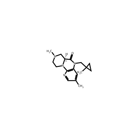 Cc1cnc2c(c1)N(CC1(C)CC1)C(=O)[C@@H]1CN(C)CCN21